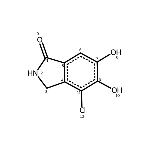 O=C1NCc2c1cc(O)c(O)c2Cl